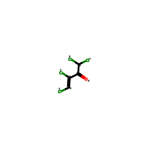 O=C(/C(Cl)=C/Cl)C(Cl)Cl